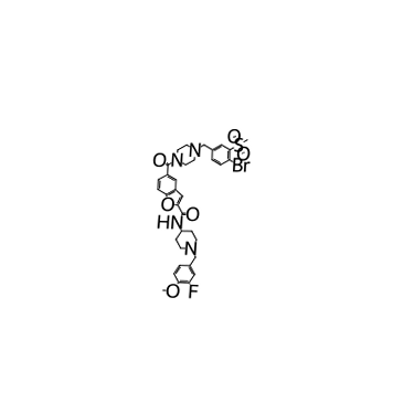 COc1ccc(CN2CCC(NC(=O)c3cc4cc(C(=O)N5CCN(Cc6ccc(Br)c(S(C)(=O)=O)c6)CC5)ccc4o3)CC2)cc1F